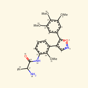 COc1cc(-c2oncc2-c2cccc(NC(=O)C(N)C(C)C)c2OC)cc(OC)c1OC